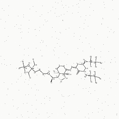 C=C1/C(=C\C=C2/CCC[C@]3(C)[C@@H]([C@@H](C)OCCCC(CC)(CC)O[Si](C)(C)C)CC[C@@H]23)C[C@@H](O[Si](C)(C)C(C)(C)C)C[C@@H]1O[Si](C)(C)C(C)(C)C